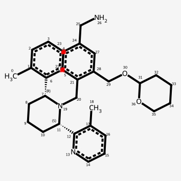 Cc1cccnc1[C@H]1CCC[C@@H](c2ncccc2C)N1Cc1ccc(CN)cc1COC1CCCCO1